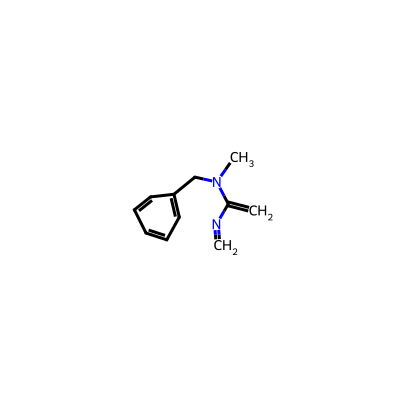 C=NC(=C)N(C)Cc1ccccc1